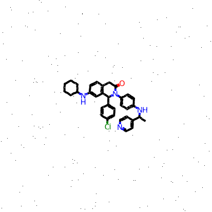 CC(Nc1ccc(N2C(=O)Cc3ccc(NC4CCCCC4)cc3C2c2ccc(Cl)cc2)cc1)c1ccncc1